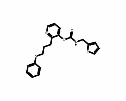 O=C(NCc1cccs1)Oc1cccnc1CCCSc1ccccc1